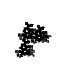 CC(C)(C)c1ccc(C(=O)[O-])c(O)c1C(C)(C)C.CC(C)(C)c1ccc(C(=O)[O-])c(O)c1C(C)(C)C.CC(C)(C)c1ccc(C(=O)[O-])c(O)c1C(C)(C)C.[Cr+3]